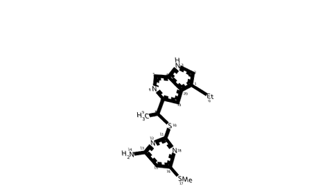 CCc1c[nH]c2cnc(C(C)Sc3nc(N)cc(SC)n3)cc12